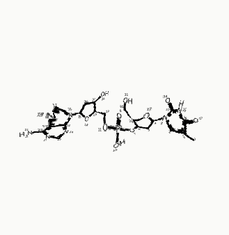 Cc1cn([C@H]2CC(OP(=O)(O)OC[C@H]3O[C@@H](n4cnc5c(N)ncnc54)CC3O)[C@@H](CO)O2)c(=O)[nH]c1=O